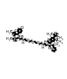 COc1cc2c(cc1-c1c(C)noc1C)ncc1c2n([C@H](C)c2ccccn2)c(=O)n1CC(=O)NCCOCCOCCOCCNC(=O)C[C@@H]1N=C(c2ccc(Cl)cc2)c2c(sc(C)c2C)-n2c(C)nnc21